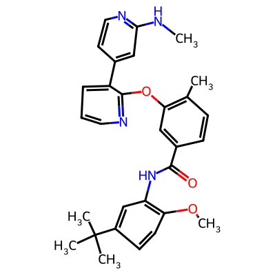 CNc1cc(-c2cccnc2Oc2cc(C(=O)Nc3cc(C(C)(C)C)ccc3OC)ccc2C)ccn1